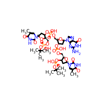 Cc1cn([C@H]2CC(OP(=O)(O)OC[C@H]3O[C@@H](n4cnc5c(=O)[nH]c(N)nc54)CC3OP(=O)(O)OC[C@H]3O[C@@H](n4cc(C)c(=O)[nH]c4=O)CC3OP(=O)(O)OC(C)(C)C)[C@@H](COP(=O)(O)OC(C)(C)C)O2)c(=O)[nH]c1=O